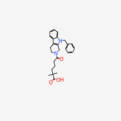 CC(C)(CCCC(=O)N1CCc2c(n(Cc3ccccc3)c3ccccc23)C1)C(=O)O